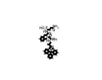 CC(CN[C@H](C(=O)N1Cc2ccccc2CC1C(=O)N[C@@H](CCC(N)=O)C(=O)O)C(C)(C)C)c1cn(C(c2ccccc2)(c2ccccc2)c2ccccc2)cn1